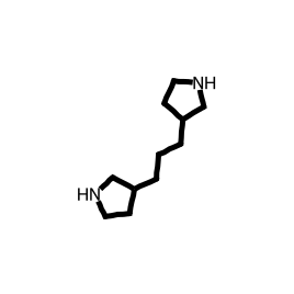 C(CC1CCNC1)CC1CCNC1